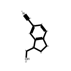 N#Cc1ccc2c(c1)C(CO)CC2